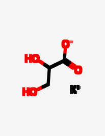 O=C([O-])C(O)CO.[K+]